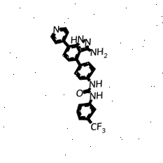 Nc1n[nH]c2c(-c3ccncc3)ccc(-c3ccc(NC(=O)Nc4cccc(C(F)(F)F)c4)cc3)c12